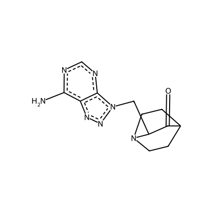 Nc1ncnc2c1nnn2CC1C(=O)C2CCN1CC2